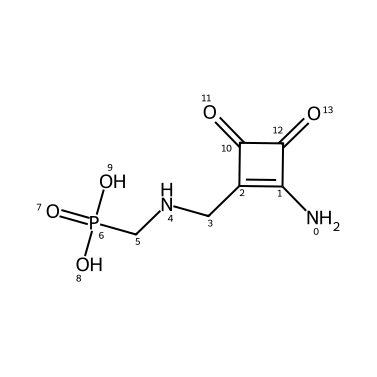 Nc1c(CNCP(=O)(O)O)c(=O)c1=O